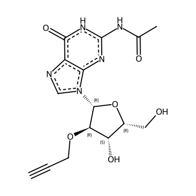 C#CCO[C@@H]1[C@@H](O)[C@@H](CO)O[C@H]1n1cnc2c(=O)[nH]c(NC(C)=O)nc21